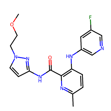 COCCn1ccc(NC(=O)c2nc(C)ccc2Nc2cncc(F)c2)n1